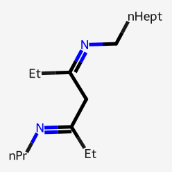 CCCCCCCCN=C(CC)CC(CC)=NCCC